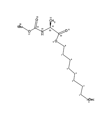 CCCCCCCCCCCCCCCCCCOC(=O)[C@H](C)NC(=O)OC(C)(C)C